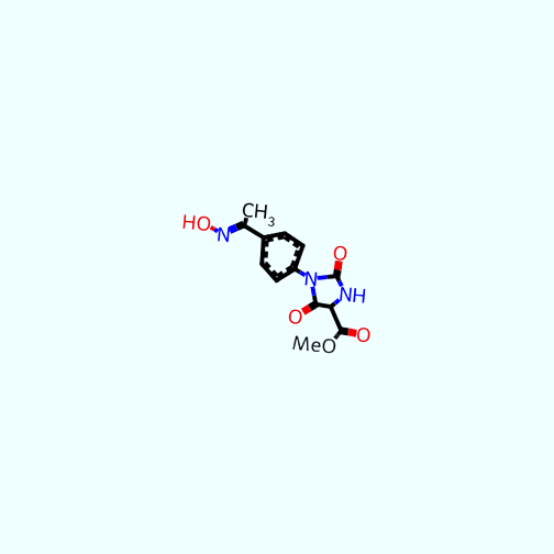 COC(=O)C1NC(=O)N(c2ccc(C(C)=NO)cc2)C1=O